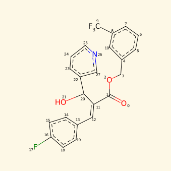 O=C(OCc1cccc(C(F)(F)F)c1)C(=Cc1ccc(F)cc1)C(O)c1cccnc1